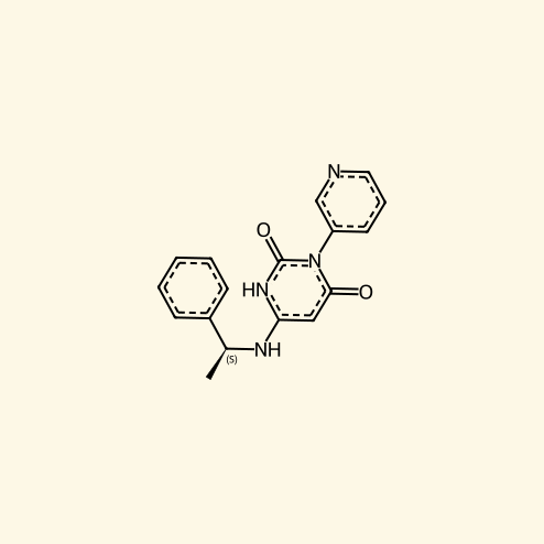 C[C@H](Nc1cc(=O)n(-c2cccnc2)c(=O)[nH]1)c1ccccc1